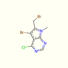 Cn1c(CBr)c(Br)c2c(Cl)ncnc21